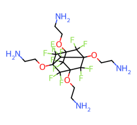 NCCOC12C(F)(F)C3(OCCN)C(F)(F)C(OCCN)(C1(F)F)C(F)(F)C(OCCN)(C2(F)F)C3(F)F